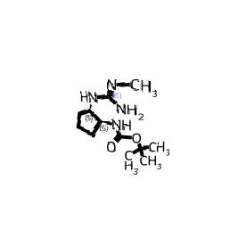 C/N=C(\N)N[C@H]1CCC[C@@H]1NC(=O)OC(C)(C)C